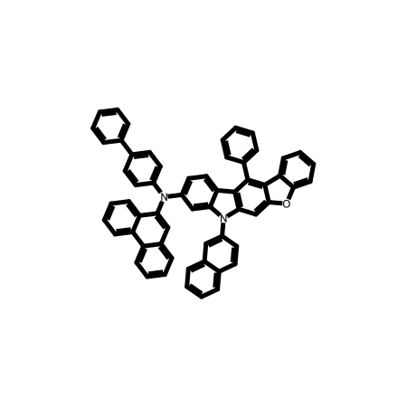 c1ccc(-c2ccc(N(c3ccc4c5c(-c6ccccc6)c6c(cc5n(-c5ccc7ccccc7c5)c4c3)oc3ccccc36)c3cc4ccccc4c4ccccc34)cc2)cc1